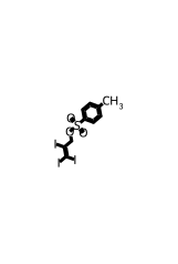 Cc1ccc(S(=O)(=O)OCC(I)=C(I)I)cc1